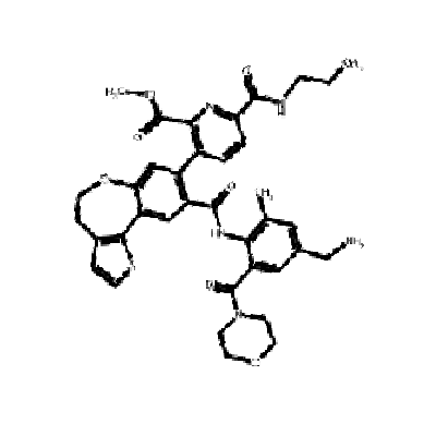 CCCNC(=O)c1ccc(-c2cc3c(cc2C(=O)Nc2c(C)cc(CN)cc2C(=O)N2CCOCC2)-c2sccc2CCO3)c(C(=O)OC)n1